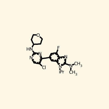 CC(C)n1c(N(C)C)nc2c(F)cc(-c3nc(NC4CCOCC4)ncc3Cl)cc21